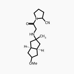 COC1C[C@@H]2CC(C)(NCC(=O)N3CCCC3C#N)C[C@@H]2C1